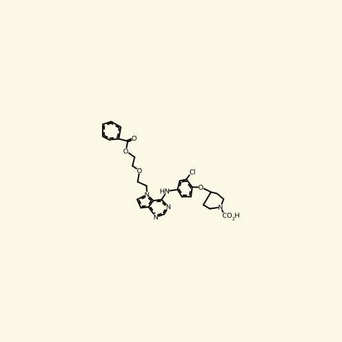 O=C(OCCOCCn1ccc2ncnc(Nc3ccc(OC4CCN(C(=O)O)CC4)c(Cl)c3)c21)c1ccccc1